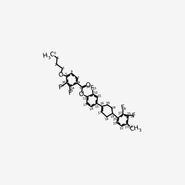 CCCCOc1ccc(C(=O)Oc2ccc(C3=CCC(c4ccc(C)c(F)c4F)CC3)cc2F)c(F)c1F